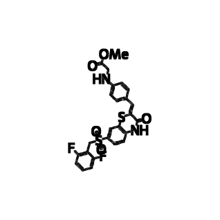 COC(=O)CNc1ccc(/C=C2\Sc3cc(S(=O)(=O)Cc4c(F)cccc4F)ccc3NC2=O)cc1